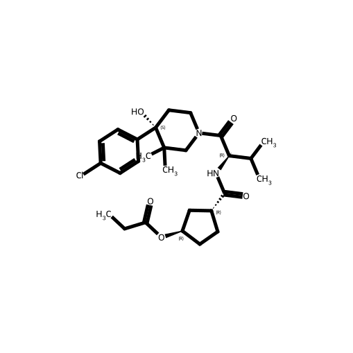 CCC(=O)O[C@@H]1CC[C@@H](C(=O)N[C@@H](C(=O)N2CC[C@](O)(c3ccc(Cl)cc3)C(C)(C)C2)C(C)C)C1